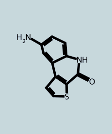 Nc1ccc2[nH]c(=O)c3sccc3c2c1